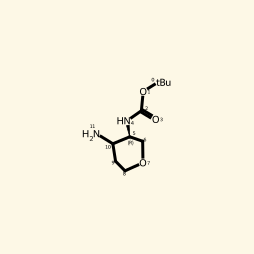 CC(C)(C)OC(=O)N[C@H]1COCCC1N